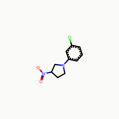 O=[N+]([O-])C1CCN(c2cccc(Cl)c2)C1